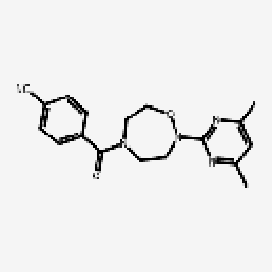 Cc1cc(C)nc(N2CCN(C(=O)c3ccc(C#N)cc3)CCO2)n1